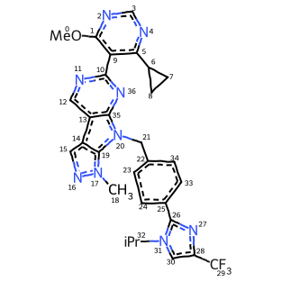 COc1ncnc(C2CC2)c1-c1ncc2c3cnn(C)c3n(Cc3ccc(-c4nc(C(F)(F)F)cn4C(C)C)cc3)c2n1